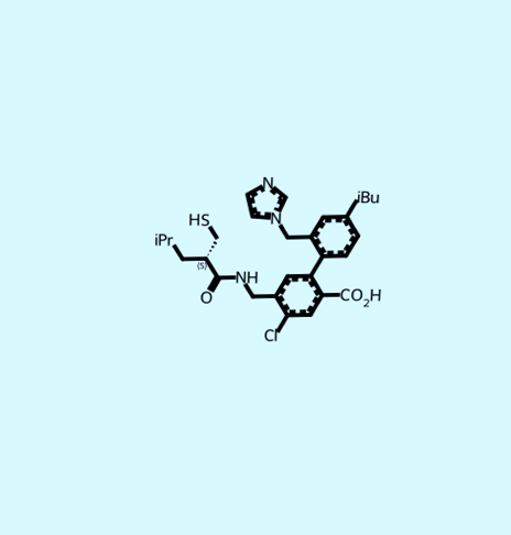 CCC(C)c1ccc(-c2cc(CNC(=O)[C@@H](CS)CC(C)C)c(Cl)cc2C(=O)O)c(Cn2ccnc2)c1